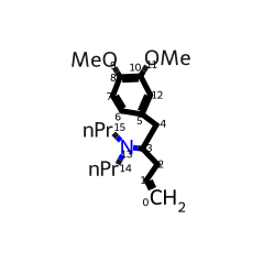 C=CCC(Cc1ccc(OC)c(OC)c1)N(CCC)CCC